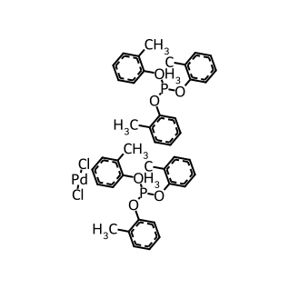 Cc1ccccc1OP(Oc1ccccc1C)Oc1ccccc1C.Cc1ccccc1OP(Oc1ccccc1C)Oc1ccccc1C.[Cl][Pd][Cl]